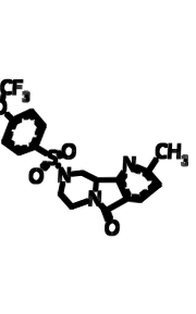 Cc1ccc2c(n1)C1CN(S(=O)(=O)c3ccc(OC(F)(F)F)cc3)CCN1C2=O